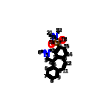 CN(C)CC1c2ccccc2C=Cc2ccc(S(=O)(=O)N(C)C)cc21